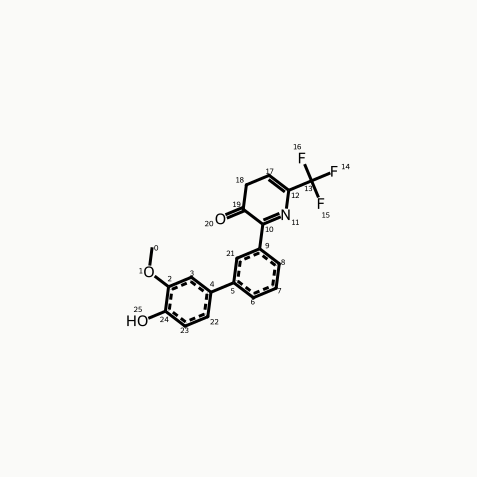 COc1cc(-c2cccc(C3=NC(C(F)(F)F)=CCC3=O)c2)ccc1O